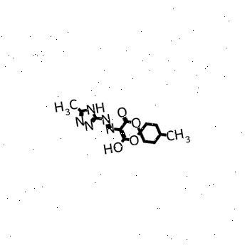 Cc1nnc(N=NC2=C(O)OC3(CCC(C)CC3)OC2=O)[nH]1